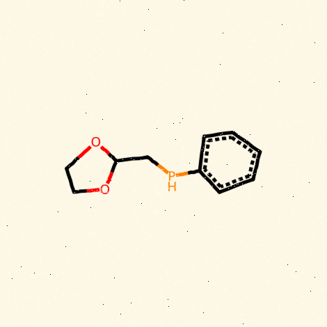 c1ccc(PCC2OCCO2)cc1